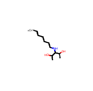 CCCCCCCCCCCCCCNC(C(C)O)C(C)O